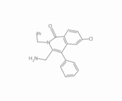 CC(C)Cn1c(CN)c(-c2ccccc2)c2cc(Cl)ccc2c1=O